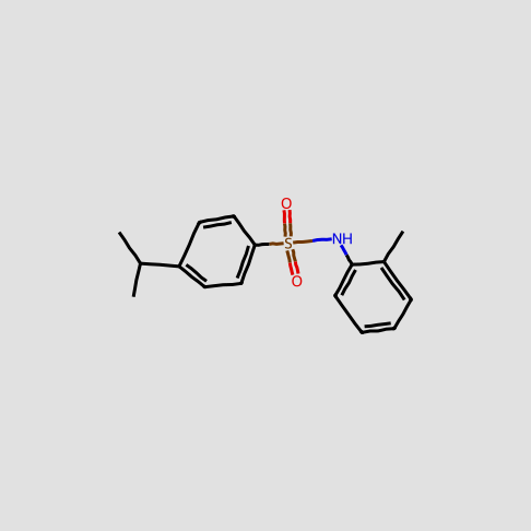 Cc1ccccc1NS(=O)(=O)c1ccc(C(C)C)cc1